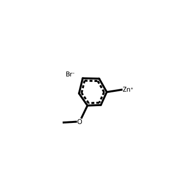 COc1ccc[c]([Zn+])c1.[Br-]